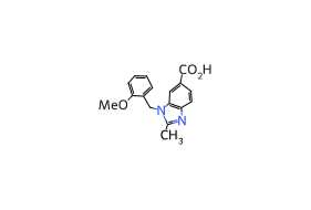 COc1ccccc1Cn1c(C)nc2ccc(C(=O)O)cc21